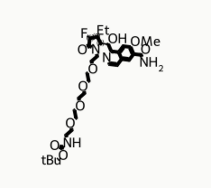 CC[C@@H]1[C@H](F)C(=O)N(CCOCCOCCOCCOCCNC(=O)OC(C)(C)C)[C@@H]1C(O)c1nccc2cc(C(N)=O)c(OC)cc12